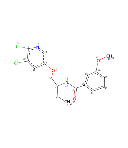 [CH2]CC(COc1cnc(Cl)c(Cl)c1)NC(=O)c1cccc(OC)c1